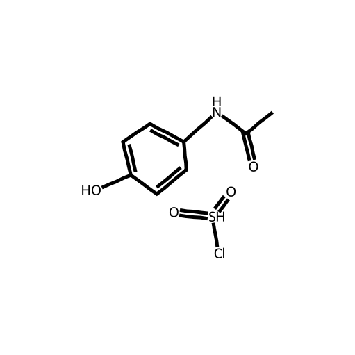 CC(=O)Nc1ccc(O)cc1.O=[SH](=O)Cl